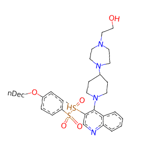 CCCCCCCCCCOc1ccc(S(=O)(=O)[SH](C)(=O)c2cnc3ccccc3c2N2CCC(N3CCN(CCO)CC3)CC2)cc1